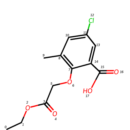 CCOC(=O)COc1c(C)cc(Cl)cc1C(=O)O